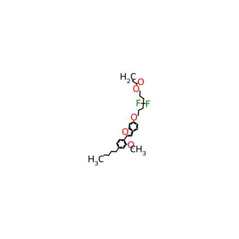 C=CC(=O)OCCCC(F)(F)CCCOc1ccc2cc(-c3ccc(CCCCC)cc3OC)oc2c1